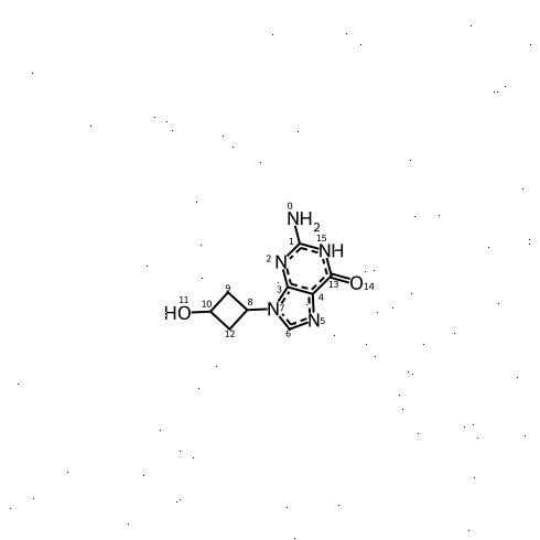 Nc1nc2c(ncn2C2CC(O)C2)c(=O)[nH]1